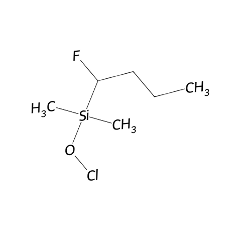 CCCC(F)[Si](C)(C)OCl